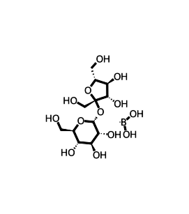 OC[C@H]1O[C@@](CO)(O[C@H]2O[C@H](CO)[C@@H](O)[C@H](O)[C@H]2O)[C@@H](O)[C@@H]1O.O[B]O